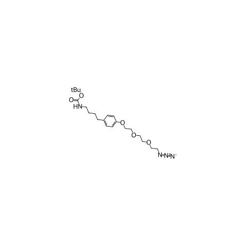 CC(C)(C)OC(=O)NCCCCc1ccc(OCCOCCOCCN=[N+]=[N-])cc1